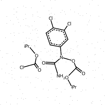 CC(C)OC(=O)Cl.CC(C)OC(=O)ON(C(N)=O)c1ccc(Cl)c(Cl)c1